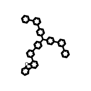 c1ccc(-c2cccc(-c3ccc(C(c4ccc(-c5cccc(-c6ccccc6)c5)cc4)c4ccc(-c5cccc(-c6cccc7c6oc6ccccc67)c5)cc4)cc3)c2)cc1